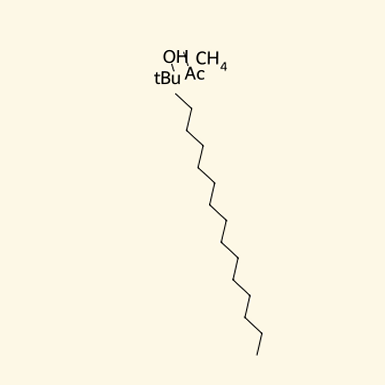 C.CC(C)(C)O.CC(C)=O.CCCCCCCCCCCCCCC